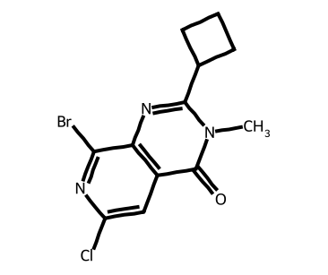 Cn1c(C2CCC2)nc2c(Br)nc(Cl)cc2c1=O